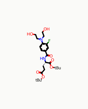 CC(C)(C)OC(=O)CC[C@H](NC(=O)c1ccc(N(CCO)CCO)c(F)c1)C(=O)OC(C)(C)C